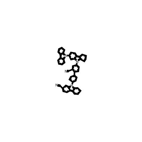 N#Cc1ccc2c3ccccc3n(-c3ccc(-c4ccc(-n5c6ccccc6c6ccc(-n7c8ccccc8c8ccccc87)cc65)cc4C#N)cc3)c2c1